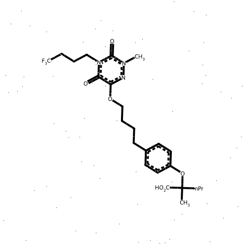 CCCC(C)(Oc1ccc(CCCCOc2nn(C)c(=O)n(CCCC(F)(F)F)c2=O)cc1)C(=O)O